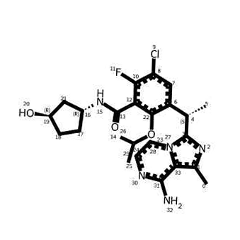 Cc1nc([C@@H](C)c2cc(Cl)c(F)c(C(=O)N[C@@H]3CC[C@@H](O)C3)c2OC(C)C)n2ccnc(N)c12